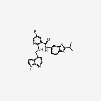 CC(C)c1nc2cc(NC(=O)c3cc(F)cnc3NCc3ccnc4[nH]ccc34)ccc2s1